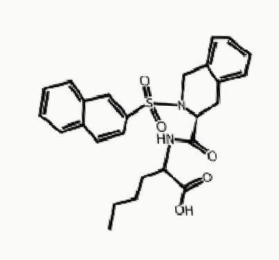 CCCCC(NC(=O)[C@@H]1Cc2ccccc2CN1S(=O)(=O)c1ccc2ccccc2c1)C(=O)O